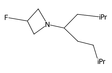 CC(C)CCC(CC(C)C)N1CC(F)C1